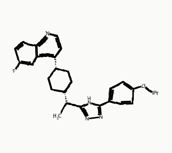 CC(C)Oc1ccc(-c2nnc(C(C)[C@H]3CC[C@@H](c4ccnc5ccc(F)cc54)CC3)[nH]2)cc1